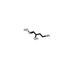 CCCCCC(O)C=NO